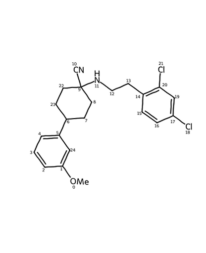 COc1cccc(C2CCC(C#N)(NCCc3ccc(Cl)cc3Cl)CC2)c1